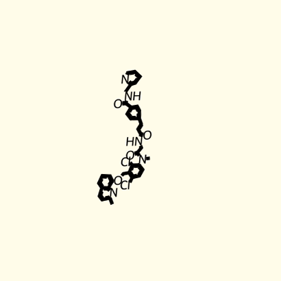 Cc1ccc2cccc(OCc3c(Cl)ccc(N(C)C(=O)CNC(=O)/C=C/c4ccc(C(=O)NCc5ccccn5)cc4)c3Cl)c2n1